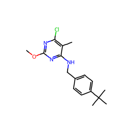 COc1nc(Cl)c(C)c(NCc2ccc(C(C)(C)C)cc2)n1